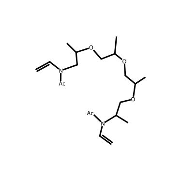 C=CN(CC(C)OCC(C)OCC(C)OCC(C)N(C=C)C(C)=O)C(C)=O